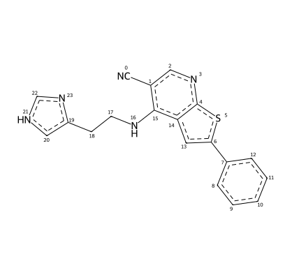 N#Cc1cnc2sc(-c3ccccc3)cc2c1NCCc1c[nH]cn1